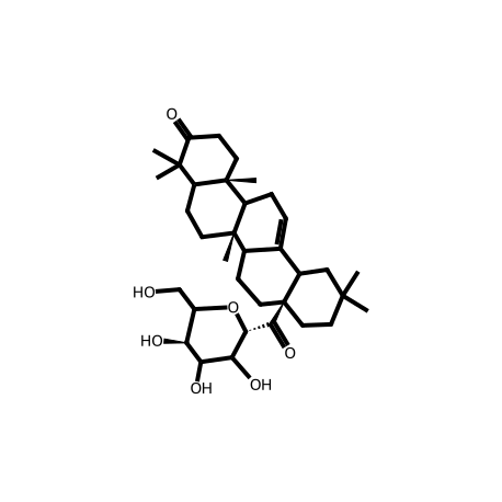 CC1(C)CC[C@]2(C(=O)[C@H]3OC(CO)[C@H](O)C(O)C3O)CCC3C(=CCC4[C@@]3(C)CCC3C(C)(C)C(=O)CC[C@@]34C)C2C1